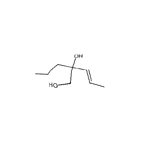 CC=CC(O)(CO)CCC